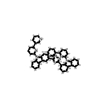 c1cncc(-c2cccc(-n3c4ccccc4c4cc(-c5nnc(-c6cccc7c8ccccc8n(-c8cccc(-c9cccnc9)n8)c67)s5)ccc43)n2)c1